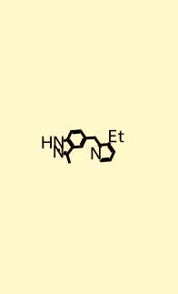 CCc1cccnc1Cc1ccc2[nH]nc(C)c2c1